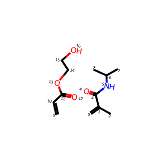 C=C(C)C(=O)NC(C)C.C=CC(=O)OCCO